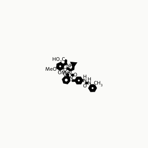 COc1ccc(C(CC(=O)O)NC(=O)C(CC2CC2)N2C(=O)N(Cc3ccc(NC(=O)Nc4ccccc4C)cc3)C3(CCCCC3)C2=O)cc1OC